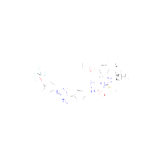 COc1ccc(C(C)C)c(N2/C(=N/C(=O)NCc3ccc(-c4ncn(-c5ccc(OC(F)(F)F)cc5)n4)cc3)SCCC2C)c1